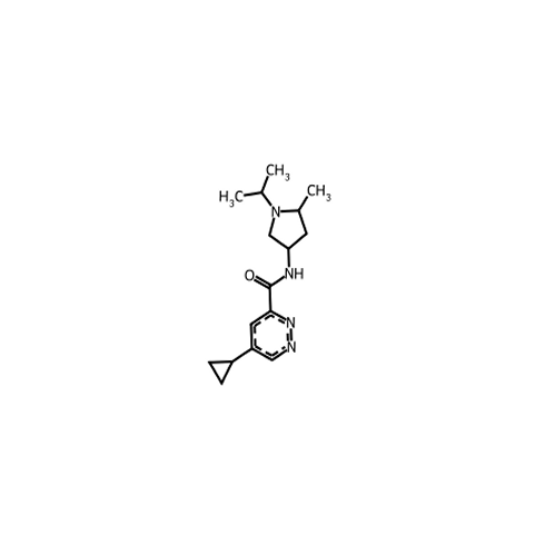 CC(C)N1CC(NC(=O)c2cc(C3CC3)cnn2)CC1C